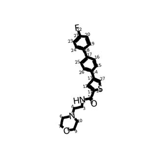 O=C(NCCN1CCOCC1)c1cc(-c2ccc(-c3ccc(F)cc3)cc2)cs1